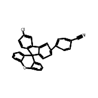 N#Cc1ccc(-c2ccc3c(c2)-c2cc(Cl)ccc2C32c3ccccc3Oc3ccccc32)cc1